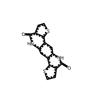 O=c1[nH]c2cc3c(cc2c2sccc12)[nH]c(=O)c1ccsc13